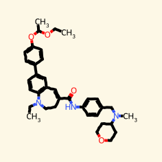 CCOC(C)Oc1ccc(-c2ccc3c(c2)C=C(C(=O)Nc2ccc(CN(C)C4CCOCC4)cc2)CCN3CC)cc1